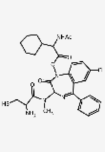 CC(=O)NC(C(=O)ON1C(=O)C(N(C)C(=O)C(N)CS)N=C(c2ccccc2)c2cc(Cl)ccc21)C1CCCCC1